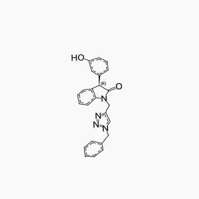 O=C1[C@H](c2cccc(O)c2)c2ccccc2N1Cc1cn(Cc2ccccc2)nn1